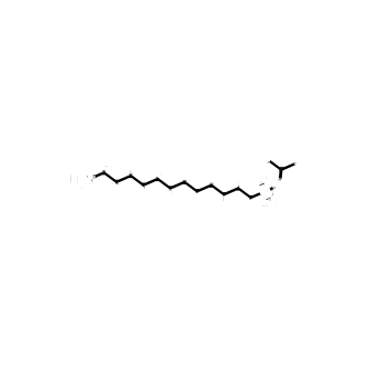 CC(C)OS(=O)(=O)CCCCCCCCCCCCN